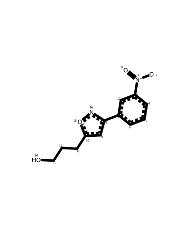 O=[N+]([O-])c1cccc(-c2cc(CCCO)on2)c1